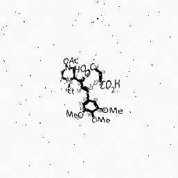 CCN1CCN(OC(C)=O)CC1C(=O)C=Cc1cc(OC)c(OC)c(OC)c1.O=C(O)C=CC(=O)O